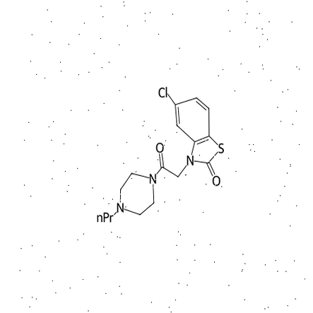 CCCN1CCN(C(=O)Cn2c(=O)sc3ccc(Cl)cc32)CC1